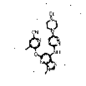 CCN1CCN(c2ccc(Nc3cc(Oc4cnc(C#N)cc4C)nc4c3ncn4C)nn2)CC1